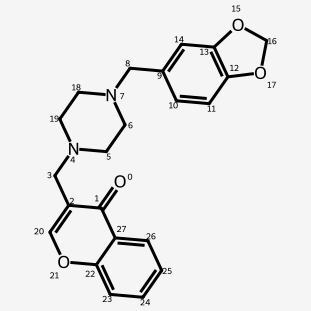 O=c1c(CN2CCN(Cc3ccc4c(c3)OCO4)CC2)coc2ccccc12